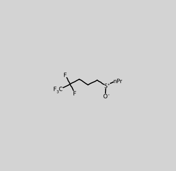 CCC[S+]([O-])CCCC(F)(F)C(F)(F)F